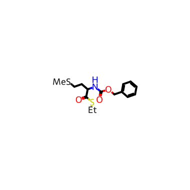 CCSC(=O)C(CCSC)NC(=O)OCc1ccccc1